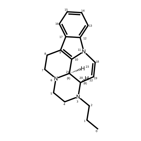 CCCN1CCN2CCc3c4n(c5ccccc35)C=C[C@@H]1[C@H]42